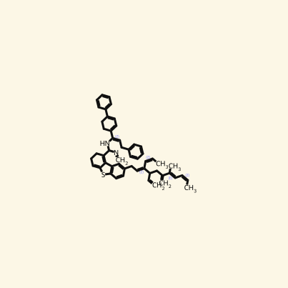 C=CC(CC(=C)/C(C)=C/C=C\C)C(/C=C\C)=C/Cc1ccc2sc3c(c2c1)=C(C(N=C)N/C(=C\Cc1ccccc1)C1=CC=C(c2ccccc2)CC1)CCC=3